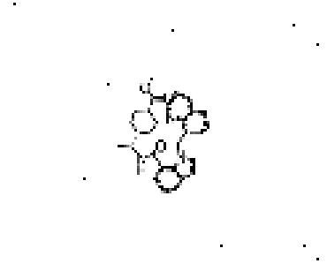 COC(=O)[C@H]1CC[C@H](C(C)NC(=O)c2cccc3ccn(Cc4cccc5cccnc45)c23)CC1